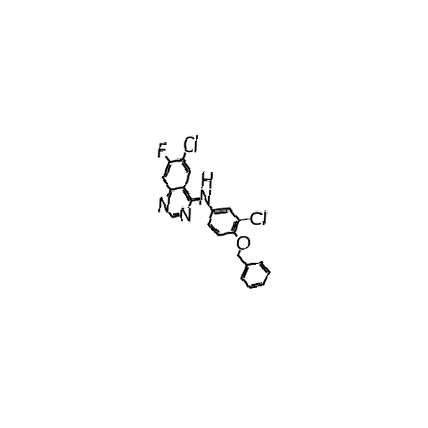 Fc1cc2ncnc(Nc3ccc(OCc4ccccc4)c(Cl)c3)c2cc1Cl